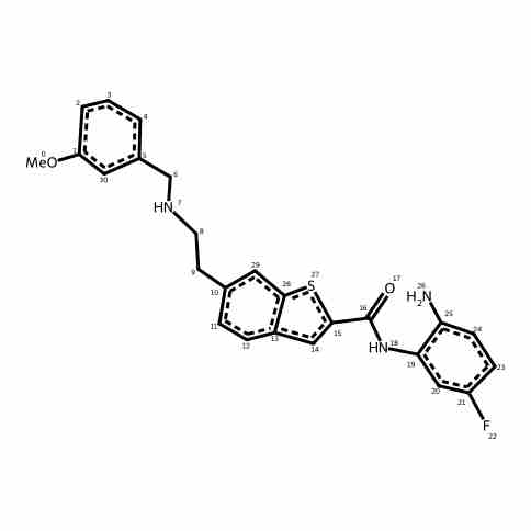 COc1cccc(CNCCc2ccc3cc(C(=O)Nc4cc(F)ccc4N)sc3c2)c1